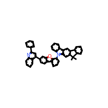 CC1(C)c2ccccc2-c2cc3c4ccccc4n(-c4cccc5c4oc4cc(-c6cc(-c7ccccc7)nc7ccccc67)ccc45)c3cc21